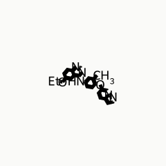 CCOc1ccc2ncnc(Nc3ccc(Oc4ccc5ccnn5c4)c(C)c3)c2c1